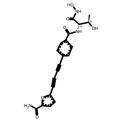 C[C@@H](O)[C@H](NC(=O)c1ccc(C#CC#Cc2ccc(C(N)=O)o2)cc1)C(=O)NO